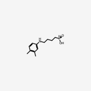 Cc1ccc(NCCCC[PH](=O)O)cc1C